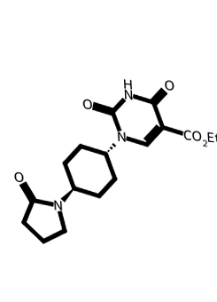 CCOC(=O)c1cn([C@H]2CC[C@H](N3CCCC3=O)CC2)c(=O)[nH]c1=O